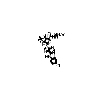 CC(=O)NNC(=O)[C@H]1O[C@@H](n2cnc3c(Nc4ccc(Cl)cc4F)ncnc32)[C@@H]2OC(C)(C)O[C@H]21